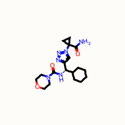 NC(=O)C1(n2cc([C@@H](NC(=O)N3CCOCC3)C3CCCCC3)nn2)CC1